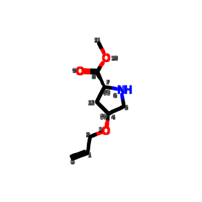 C=CCO[C@@H]1CN[C@H](C(=O)OC)C1